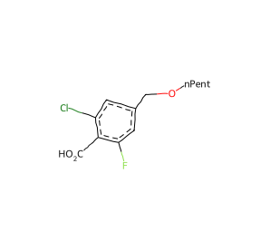 CCCCCOCc1cc(F)c(C(=O)O)c(Cl)c1